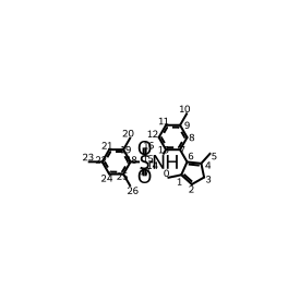 CC1=CCC(C)=C1c1cc(C)ccc1NS(=O)(=O)c1c(C)cc(C)cc1C